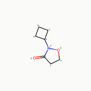 O=C1[CH]CON1C1CCC1